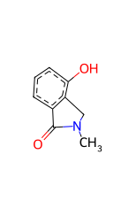 CN1Cc2c(O)cccc2C1=O